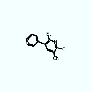 CCc1nc(Cl)c(C#N)cc1-c1cccnc1